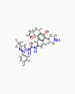 Cc1ccc(-n2nc(C(C)(C)C)cc2NC(=O)Nc2ccc(C(C(=O)C3=CC4OC=CC4CC3)C3CCNCC3)cc2)cc1